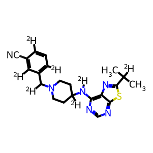 [2H]c1cc([2H])c(C([2H])N2CCC([2H])(N([2H])c3ncnc4sc(C([2H])(C)C)nc34)CC2)c([2H])c1C#N